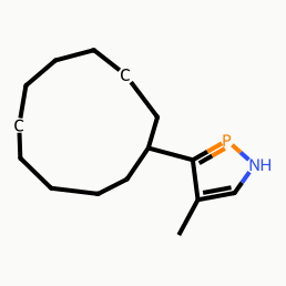 Cc1c[nH]pc1C1CCCCCCCCCC1